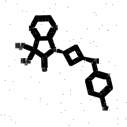 CC1(C)C(=O)N([C@H]2C[C@H](Nc3ccc(Br)cn3)C2)c2nccnc21